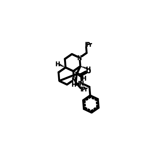 CC(C)C[C@@H]1C2CN[C@@]3(C(=O)NCc4ccccc4)[C@H](CCN(CC(C)C)[C@@H]13)C2